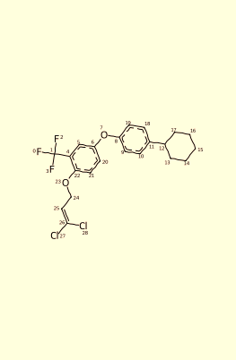 FC(F)(F)c1cc(Oc2ccc(C3CCCCC3)cc2)ccc1OCC=C(Cl)Cl